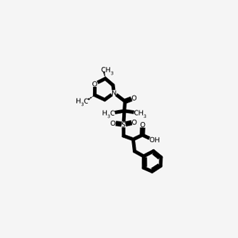 C[C@@H]1CN(C(=O)C(C)(C)S(=O)(=O)CC(Cc2ccccc2)C(=O)O)C[C@H](C)O1